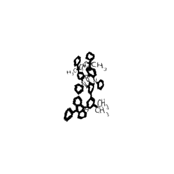 CC(C)c1cc(C2=c3ccccc3=C(c3ccccc3)C3C=CC=C[C@@H]23)cc(-c2cc3c4c(c2)N(c2ccccc2)c2ccc(C(C)(C)c5ccccc5)cc2B4c2cc(C(C)(C)c4ccccc4)ccc2N3c2ccccc2)c1